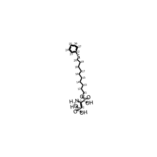 NC(=CP(=O)(O)O)P(=O)(O)OCCCCCCCCCCSc1ccccc1